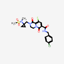 CN(C1(CN2CCn3c(c(F)cc(C(=O)NCc4ccc(Cl)cc4)c3=O)C2=O)CC1)S(C)(=O)=O